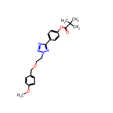 COc1ccc(COCCn2nnc(-c3ccc(OC(=O)C(C)(C)C)cc3)n2)cc1